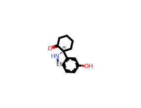 CCN[C@@]1(c2cccc(O)c2)CCCCC1=O